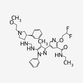 CCNC(=O)c1cc(-c2nn(-c3ccccc3)c(NCN[C@@H]3CN(CCOC)C[C@H]3c3ccccc3)c2C)cnc1OCC(F)F